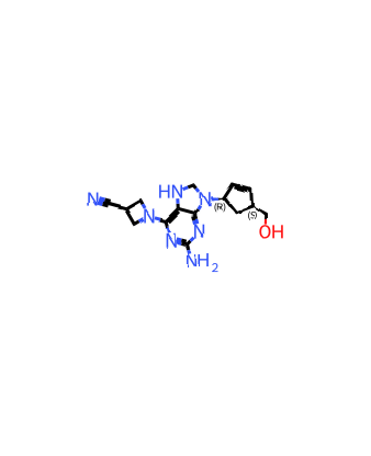 N#CC1CN(c2nc(N)nc3c2NCN3[C@H]2C=C[C@@H](CO)C2)C1